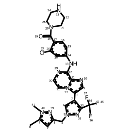 Cc1cc(Cn2cc(-c3cnc4c(Nc5ccc(C(=O)N6CCNCC6)c(Cl)c5)nccn34)c(C(F)(F)F)n2)nn1C